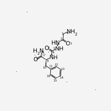 NCC(=O)NNC(=O)N[C@@H](Cc1ccccc1)C(N)=O